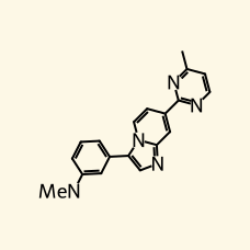 CNc1cccc(-c2cnc3cc(-c4nccc(C)n4)ccn23)c1